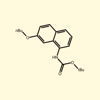 CCCCOc1ccc2cccc(NC(=O)OC(C)(C)C)c2c1